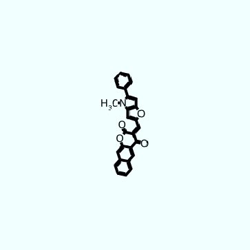 Cn1c(-c2ccccc2)cc2oc(/C=C3\C(=O)Oc4cc5ccccc5cc4C3=O)cc21